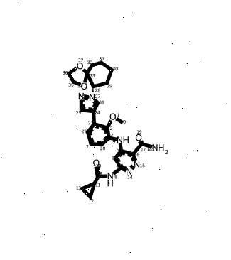 COc1c(Nc2cc(NC(=O)C3CC3)nnc2C(N)=O)cccc1-c1cnn([C@H]2CCCCC23OCCO3)c1